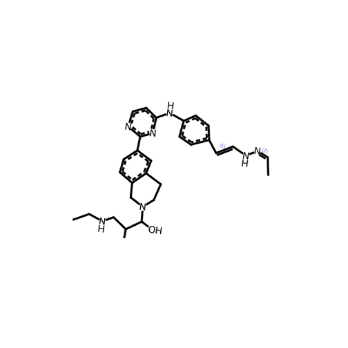 C/C=N\N/C=C/c1ccc(Nc2ccnc(-c3ccc4c(c3)CCN(C(O)C(C)CNCC)C4)n2)cc1